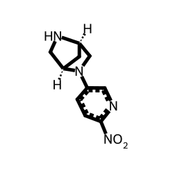 O=[N+]([O-])c1ccc(N2C[C@H]3C[C@@H]2CN3)cn1